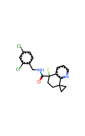 O=C(NCc1ccc(Cl)cc1Cl)[C@@]1(F)CCC2(CC2)c2ncccc21